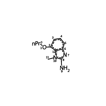 CCCOc1cccc2nc(N)n(C)c12